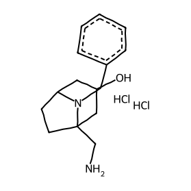 Cl.Cl.NCC12CCC(CC(O)C1)N2Cc1ccccc1